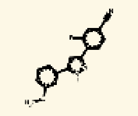 COc1cccc(-c2cc(-c3ccc(C#N)cc3F)n[nH]2)c1